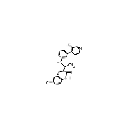 Cc1cnccc1-c1cccc(NC(C)c2cc3cc(Cl)ccc3[nH]c2=O)c1